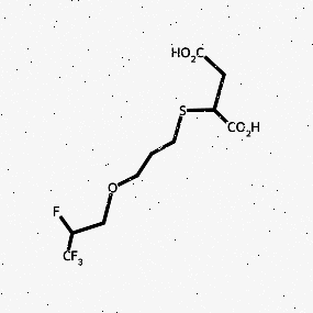 O=C(O)CC(SCCCOCC(F)C(F)(F)F)C(=O)O